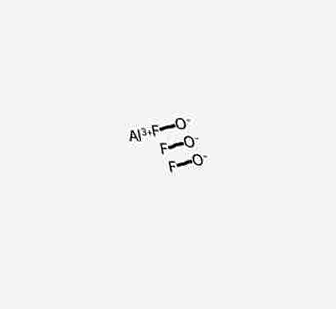 [Al+3].[O-]F.[O-]F.[O-]F